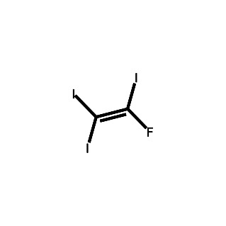 FC(I)=C(I)I